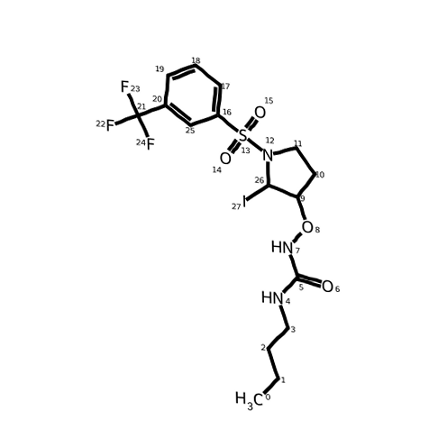 CCCCNC(=O)NOC1CCN(S(=O)(=O)c2cccc(C(F)(F)F)c2)C1I